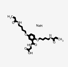 C=CC(=O)NCCCCOc1ccc(OCCCCNC(=O)C=C)c(C(=O)NCC(=O)O)c1.[NaH]